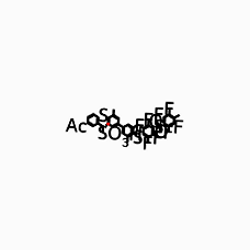 CC(=O)c1ccc(Sc2c(C)cc(-c3cc(C)c(Sc4c(F)c(F)c(S(=O)(=O)c5c(F)c(F)c(C)c(F)c5F)c(F)c4F)c(C)c3)cc2C)c(CS(=O)(=O)O)c1